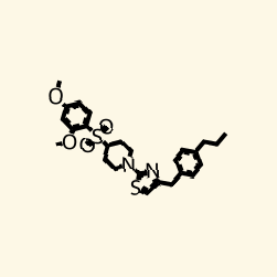 CCCc1ccc(Cc2csc(N3CCC(S(=O)(=O)c4ccc(OC)cc4OC)CC3)n2)cc1